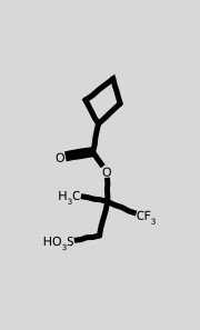 CC(CS(=O)(=O)O)(OC(=O)C1CCC1)C(F)(F)F